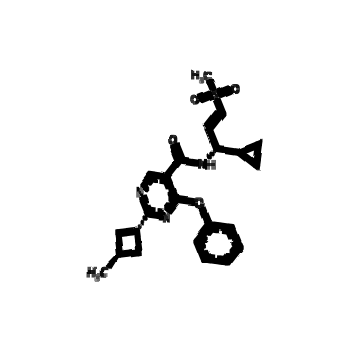 CS(=O)(=O)/C=C/[C@@H](NC(=O)c1cnc([C@H]2C[C@H](C)C2)nc1Oc1ccccc1)C1CC1